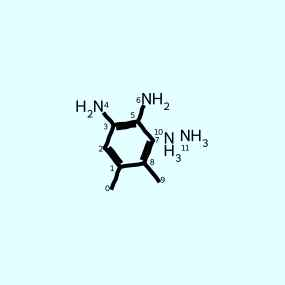 Cc1cc(N)c(N)cc1C.N.N